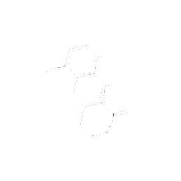 Cc1c(Br)cccc1/C=C1\CCCNC1=O